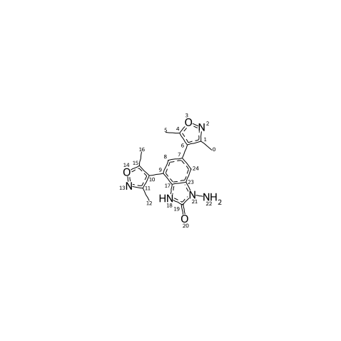 Cc1noc(C)c1-c1cc(-c2c(C)noc2C)c2[nH]c(=O)n(N)c2c1